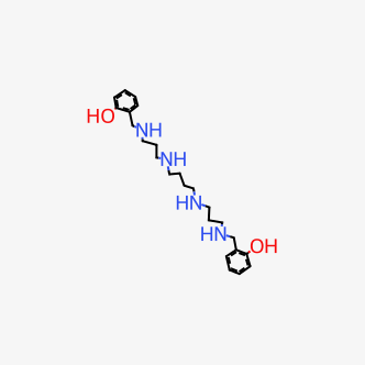 Oc1ccccc1CNCCCNCCCCNCCCNCc1ccccc1O